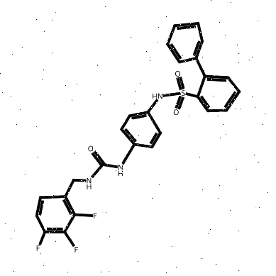 O=C(NCc1ccc(F)c(F)c1F)Nc1ccc(NS(=O)(=O)c2ccccc2-c2ccccc2)cc1